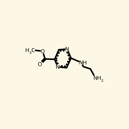 COC(=O)c1cnc(NCCN)cn1